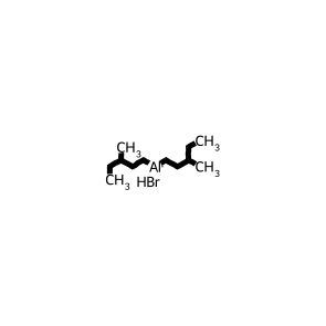 Br.CCC(C)C[CH2][Al][CH2]CC(C)CC